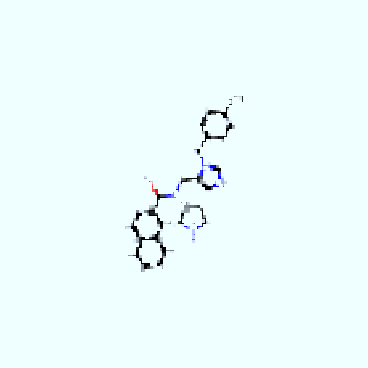 N#Cc1ccc(Cn2cncc2CN(C(=O)c2ccc3ccccc3c2)[C@@H]2CCNC2)cc1